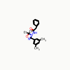 CCC1(C)ON=C(c2cc(C)cc(C)c2)N1NC(=O)Cc1ccccc1